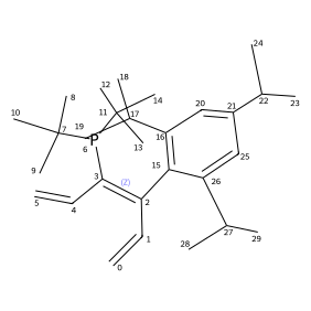 C=C/C(=C(\C=C)P(C(C)(C)C)C(C)(C)C)c1c(C(C)C)cc(C(C)C)cc1C(C)C